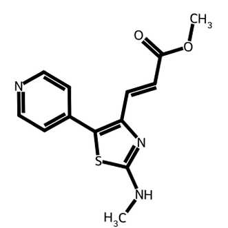 CNc1nc(/C=C/C(=O)OC)c(-c2ccncc2)s1